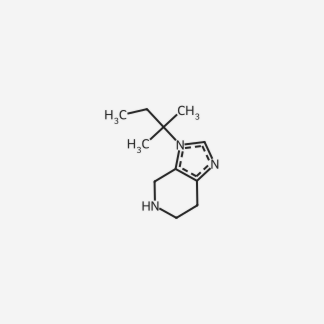 CCC(C)(C)n1cnc2c1CNCC2